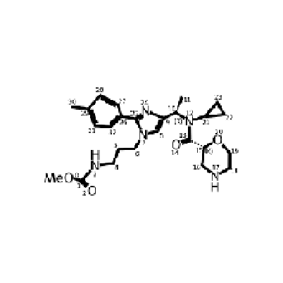 COC(=O)NCCCn1cc([C@@H](C)N(C(=O)[C@H]2CNCCO2)C2CC2)nc1-c1ccc(C)cc1